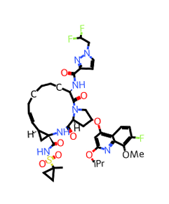 COc1c(F)ccc2c(O[C@@H]3C[C@H]4C(=O)N[C@]5(C(=O)NS(=O)(=O)C6(C)CC6)C[C@H]5/C=C\CCCCC[C@H](NC(=O)c5ccn(CC(F)F)n5)C(=O)N4C3)cc(OC(C)C)nc12